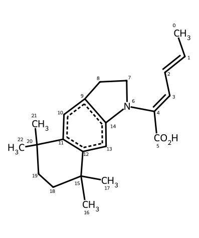 C/C=C/C=C(/C(=O)O)N1CCc2cc3c(cc21)C(C)(C)CCC3(C)C